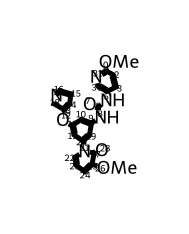 COc1ccc(NC(=O)Nc2cc(Oc3cccnc3)cc(-n3cccc(OC)c3=O)c2)cn1